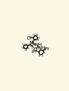 CC(C)c1cccc(C(C)C)c1NC(=O)Nc1sc(-c2ccccc2)nc1-c1ccccc1Cl